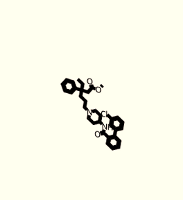 CCC(CCCN1CCC(NC(=O)c2ccccc2-c2cccc(Cl)c2)CC1)(CC(=O)OC)c1ccccc1